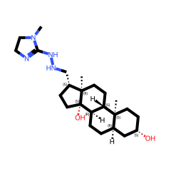 CN1CCN=C1NNC[C@H]1CC[C@]2(O)[C@@H]3CC[C@@H]4C[C@@H](O)CC[C@]4(C)[C@H]3CC[C@]12C